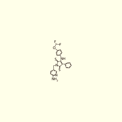 Nc1ccc(CN2C(=S)C(Nc3ccc(OC(F)F)cc3)=C(c3ccccc3)C2=S)cn1